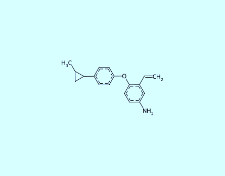 C=Cc1cc(N)ccc1Oc1ccc(C2CC2C)cc1